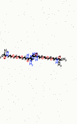 CC(C)C(=O)NCCCOCCOCCOCCCNC(=O)c1nc(N)c(C(=O)NCCCOCCOCCOCCCNC(=O)C(C)C)nc1N